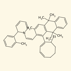 CCC1CCC/C=C\C=C/1c1c(/C=C\N2C=CC=CC2c2ccccc2C)c(C)cc2c1C(C)(C)c1ccccc1C2(C)C